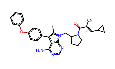 Cc1c(-c2ccc(Oc3ccccc3)cc2)c2c(N)ncnc2n1CC1CCCN1C(=O)/C(C#N)=C/C1CC1